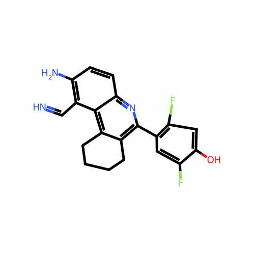 N=Cc1c(N)ccc2nc(-c3cc(F)c(O)cc3F)c3c(c12)CCCC3